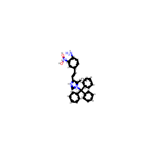 Cc1c(/C=C/c2ccc(N)c([N+](=O)[O-])c2)ncn1C(c1ccccc1)(c1ccccc1)c1ccccc1